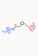 N=C(N)NCNCCC(=O)CCCc1cccc(CCCCC(=O)ON2C(=O)CCC2=O)c1